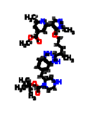 COC(=O)c1cc(C)nc(-c2cnn(C)c2OCCCC(C)CNc2cc(CC3CNCCN3C(=O)OC(C)(C)C)ccc2N)c1